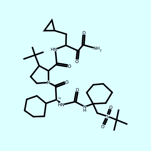 CC(C)(C)C1CCN(C(=O)[C@@H](NC(=O)NC2(CS(=O)(=O)C(C)(C)C)CCCCC2)C2CCCCC2)C1C(=O)NC(CC1CC1)C(=O)C(N)=O